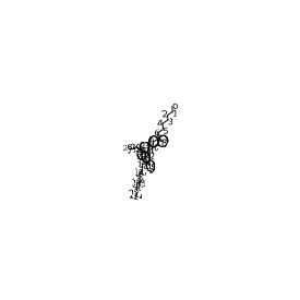 CCCCCCCC(=O)OCC(COC(=O)CCCCCCC)OC(=O)CCC